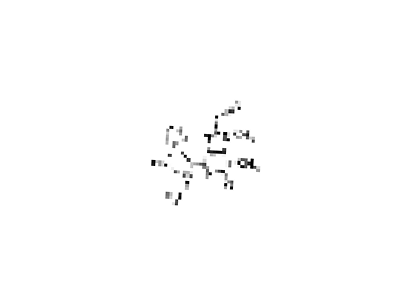 CC[C@@H]1CN(c2nc(=O)n(C)c3c2nc(CC#N)n3C)[C@@H](CC)CN1